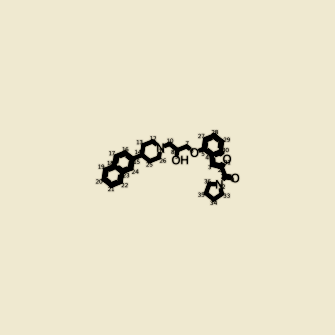 O=C(c1cc2c(OCC(O)CN3CCC(c4ccc5ccccc5c4)CC3)cccc2o1)N1CCCC1